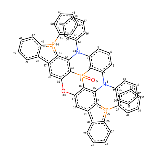 O=P12c3c4cccc3N(c3ccccc3)c3c1c(cc1c5ccccc5p(-c5ccccc5)c31)Oc1cc3c5ccccc5p(-c5ccccc5)c3c(c12)N4c1ccccc1